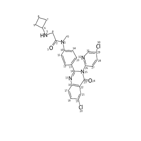 CN(C(=O)CNC1CCC1)c1ccc(-c2nc3ccc(Cl)cc3c(=O)n2-c2ccc(Cl)cn2)cc1